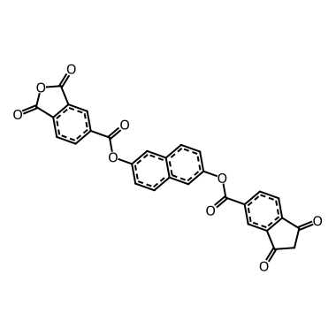 O=C(Oc1ccc2cc(OC(=O)c3ccc4c(c3)C(=O)OC4=O)ccc2c1)c1ccc2c(c1)C(=O)CC2=O